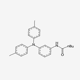 CCCCC(=O)Nc1cccc(N(c2ccc(C)cc2)c2ccc(C)cc2)c1